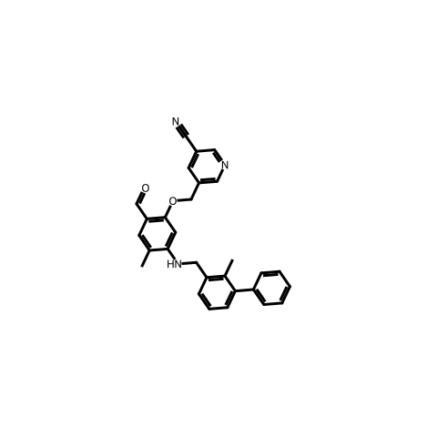 Cc1cc(C=O)c(OCc2cncc(C#N)c2)cc1NCc1cccc(-c2ccccc2)c1C